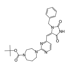 CC(C)(C)OC(=O)N1CCCN(c2nccc(/C=C3\C(=O)NC(=O)N3Cc3ccccc3)n2)CC1